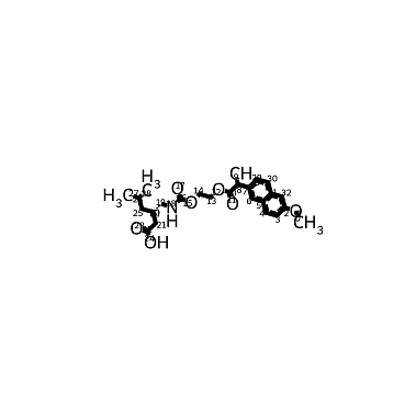 COc1ccc2cc(C(C)C(=O)OCCOC(=O)NC[C@H](CC(=O)O)CC(C)C)ccc2c1